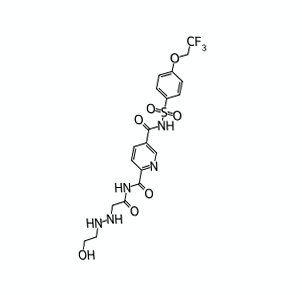 O=C(CNNCCO)NC(=O)c1ccc(C(=O)NS(=O)(=O)c2ccc(OCC(F)(F)F)cc2)cn1